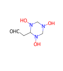 O=CCC1N(O)CN(O)CN1O